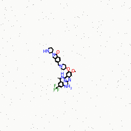 COc1cc2nc(C)nc(N[C@H](C)c3cc(N)cc(C(F)(F)F)c3)c2cc1OC1CCN(Cc2ccc3c(c2)CN(C2CCCNC2)C3=O)CC1